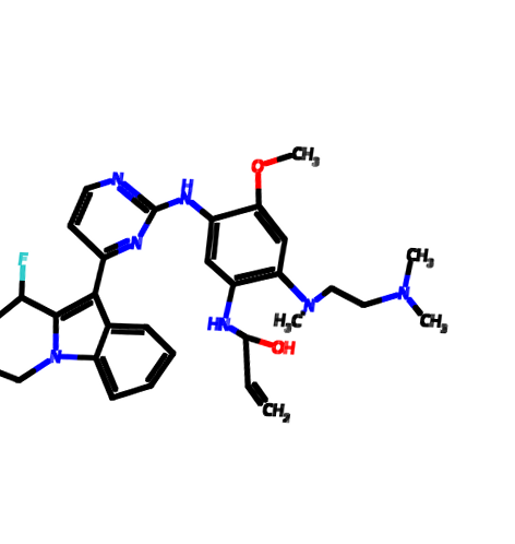 C=CC(O)Nc1cc(Nc2nccc(-c3c4n(c5ccccc35)CCCC4F)n2)c(OC)cc1N(C)CCN(C)C